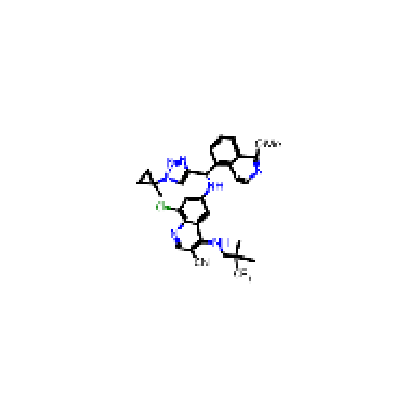 COc1nccc2c([C@H](Nc3cc(Cl)c4ncc(C#N)c(NCC(C)(C)C(F)(F)F)c4c3)c3cn(C4(C)CC4)nn3)cccc12